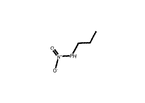 CCCP[N+](=O)[O-]